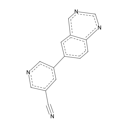 N#Cc1cncc(-c2ccc3ncncc3c2)c1